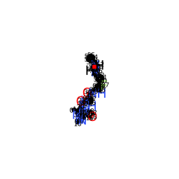 CCc1nc2c(cnn2CC)c(NC2CCOCC2)c1CNC(=O)c1cccc(C(=O)NCc2ccc(F)c(-c3cccc(CN4C[C@@H]5C[C@@H]4CN5Cc4ccccc4)c3)c2)c1